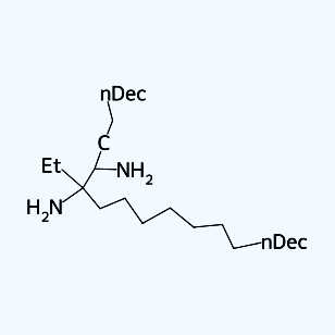 CCCCCCCCCCCCCCCCCC(N)(CC)C(N)CCCCCCCCCCCC